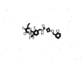 CCc1nc(-c2c(C(F)(F)F)ccc(CNC(=O)[C@H]3C[C@H](OCc4ccccc4Cl)C3)c2F)[nH]c(=O)c1F